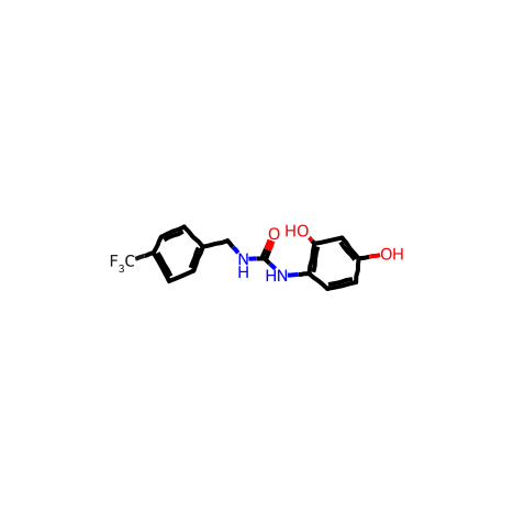 O=C(NCc1ccc(C(F)(F)F)cc1)Nc1ccc(O)cc1O